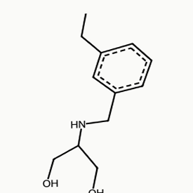 CCc1cccc(CNC(CO)CO)c1